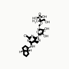 C[C@@](CO)(OC[C@H]1O[C@@H](n2ncc3c(N[C@@H]4CC[C@H]5CCC[C@H]54)nc(Cl)nc32)[C@H](O)[C@@H]1O)P(=O)(O)O